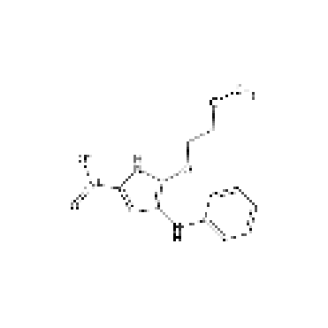 COCCOc1[nH]c([N+](=O)[O-])cc1Nc1ccccc1